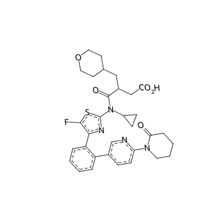 O=C(O)CC(CC1CCOCC1)C(=O)N(c1nc(-c2ccccc2-c2ccc(N3CCCCC3=O)nc2)c(F)s1)C1CC1